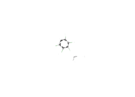 CC(C)COCC(C)C.Fc1cc(F)c(F)c(F)c1F